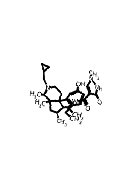 CCc1ccc(O)cc1C12CCN(CC3CC3)C(C)C1(C)C[C@H](C)C2C(C)NC(=O)c1cn(C)[nH]c1=O